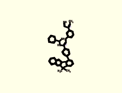 C/C=C(\C=N)c1cccc(C/C=C(\NC(N)c2ccccc2)c2ccc(-c3cccc4c3-c3cc5ccccc5cc3C4(C)C)cc2)c1